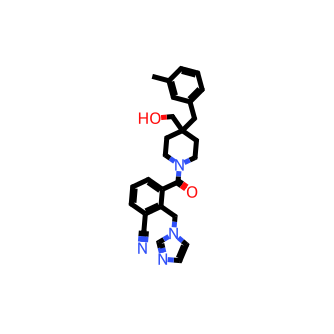 Cc1cccc(CC2(CO)CCN(C(=O)c3cccc(C#N)c3Cn3ccnc3)CC2)c1